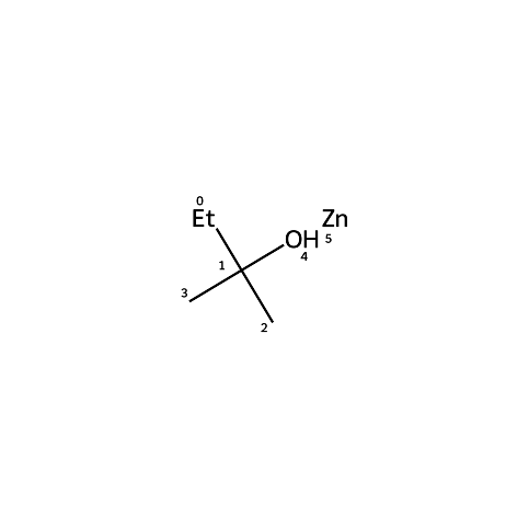 [CH2]CC(C)(C)O.[Zn]